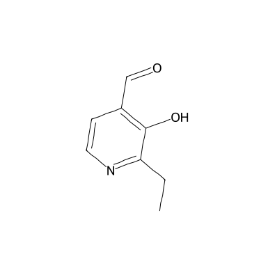 CCc1nccc(C=O)c1O